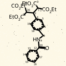 CCOC(=O)C(C(=O)OCC)C(c1ccc(CNC(=O)c2ccccc2)cc1)C(C(=O)OCC)C(=O)OCC